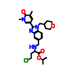 Cc1cc(-c2nc3cc(CNC(CCCl)C(=O)OC(C)C)ccc3n2CC2CCOCC2)cn(C)c1=O